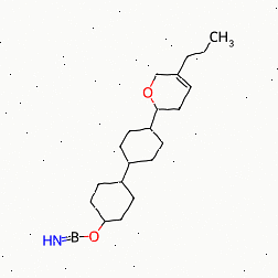 CCCC1=CCC(C2CCC(C3CCC(OB=N)CC3)CC2)OC1